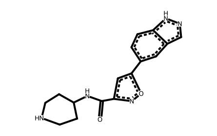 O=C(NC1CCNCC1)c1cc(-c2ccc3[nH]ncc3c2)on1